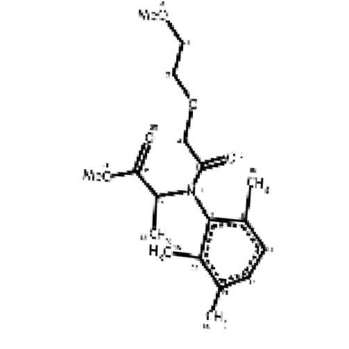 COCCOCC(=O)N(c1c(C)ccc(C)c1C)C(C)C(=O)OC